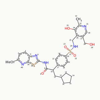 COc1ccc2nc(NC(=O)C(CC3CCCC3)c3ccc(S(=O)(=O)NCc4c(CO)cnc(C)c4O)cc3)sc2n1